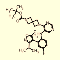 Cc1onc(C(C)C)c1-c1cc(F)ccc1Nc1cncnc1N1CC2(CN(C(=O)OC(C)(C)C)C2)C1